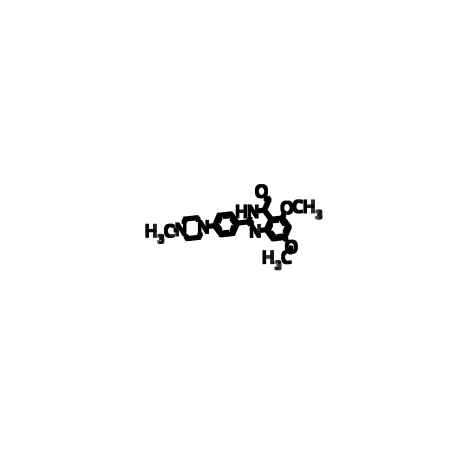 COc1cc2c(c(OC)c1)C(C=O)NC(c1ccc(N3CCN(C)CC3)cc1)=N2